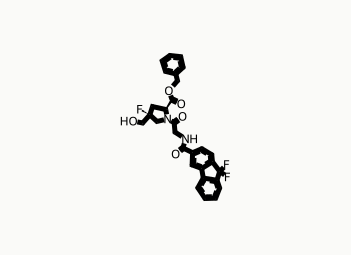 O=C(NCC(=O)N1C[C@@](F)(CO)C[C@H]1C(=O)OCc1ccccc1)c1ccc2c(c1)-c1ccccc1C2(F)F